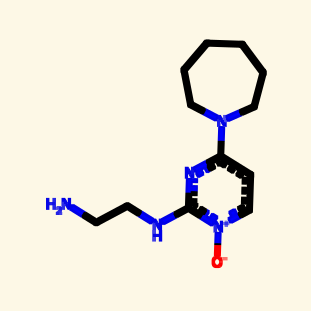 NCCNc1nc(N2CCCCCC2)cc[n+]1[O-]